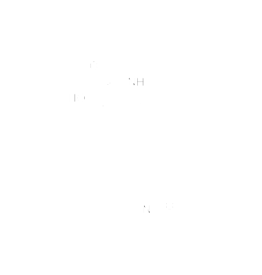 Cc1noc(C)c1-c1ccc2c(c1)C(O)(C1CCC1)C(=O)N2